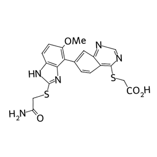 COc1ccc2[nH]c(SCC(N)=O)nc2c1-c1ccc2c(SCC(=O)O)ncnc2c1